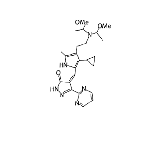 COC(C)N(CCc1c(C)[nH]c(C=C2C(=O)NN=C2c2ncccn2)c1C1CC1)C(C)OC